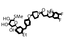 CCc1ccc([C@@H]2O[C@H](SC)[C@@H](O)[C@H](O)[C@H]2O)cc1Cc1ccc(OC2CCN(C(=O)CC(N)Cc3cc(F)c(F)cc3F)CC2)cc1